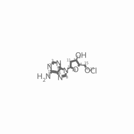 Nc1ncnc2c1ncn2[C@H]1C[C@H](O)[C@@H](COCl)O1